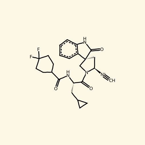 C#[N+][C@@H]1C[C@@]2(CN1C(=O)[C@H](CC1CC1)NC(=O)C1CCC(F)(F)CC1)C(=O)Nc1ccccc12